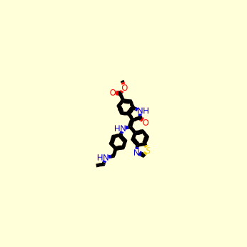 CCNCc1ccc(NC(=C2C(=O)Nc3cc(C(=O)OC)ccc32)c2ccc3scnc3c2)cc1